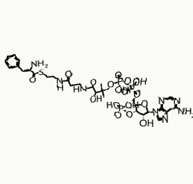 CC(C)(COP(=O)(O)OP(=O)(O)OC[C@H]1O[C@@H](n2cnc3c(N)ncnc32)[C@H](O)[C@@H]1OP(=O)(O)O)C(O)C(=O)NCCC(=O)NCCSC(=O)C(N)=Cc1ccccc1